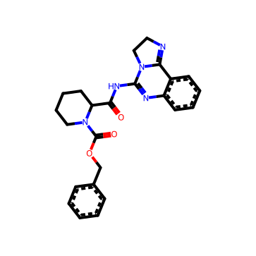 O=C(NC1=Nc2ccccc2C2=NCCN12)C1CCCCN1C(=O)OCc1ccccc1